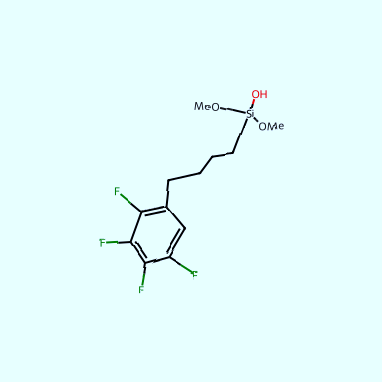 CO[Si](O)(CCCCc1cc(F)c(F)c(F)c1F)OC